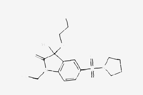 O=C1N(CC(F)(F)F)c2ccc(S(=O)(=O)N3CCCC3)cc2C1(O)OCCI